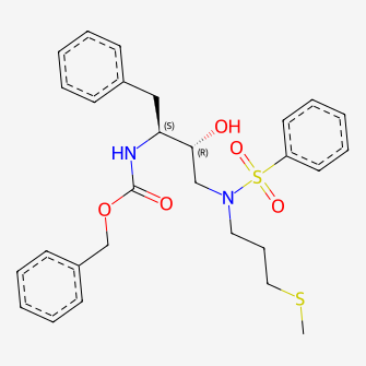 CSCCCN(C[C@@H](O)[C@H](Cc1ccccc1)NC(=O)OCc1ccccc1)S(=O)(=O)c1ccccc1